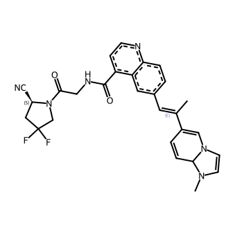 C/C(=C\c1ccc2nccc(C(=O)NCC(=O)N3CC(F)(F)C[C@H]3C#N)c2c1)C1=CN2C=CN(C)C2C=C1